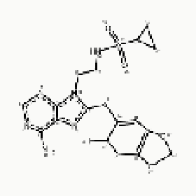 Nc1ncnc2c1nc(SC1=CC3=C(CC1I)OCO3)n2CCNS(=O)(=O)C1CC1